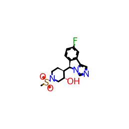 CS(=O)(=O)N1CC[C@@H]([C@H]2c3ccc(F)cc3-c3cncn32)[C@H](O)C1